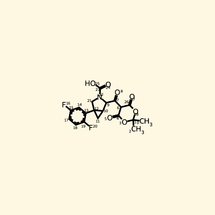 CC1(C)OC(=O)C(C(=O)C2C3CC3(c3cc(F)ccc3F)CN2C(=O)O)C(=O)O1